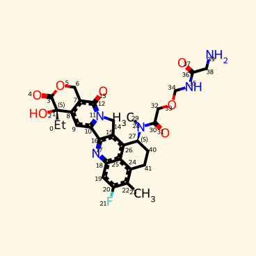 CC[C@@]1(O)C(=O)OCc2c1cc1n(c2=O)Cc2c-1nc1cc(F)c(C)c3c1c2[C@@H](N(C)C(=O)COCNC(=O)CN)CC3